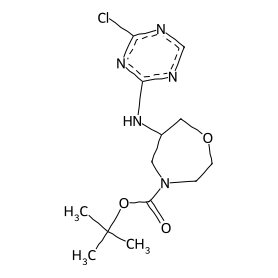 CC(C)(C)OC(=O)N1CCOCC(Nc2ncnc(Cl)n2)C1